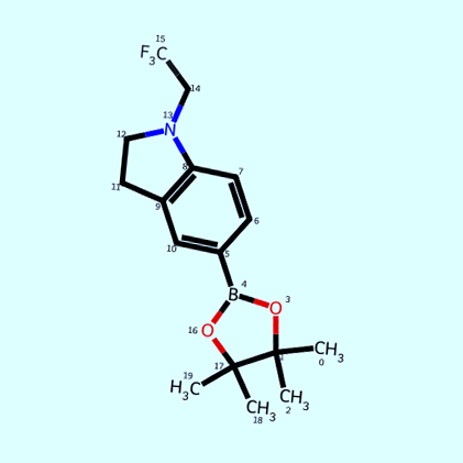 CC1(C)OB(c2ccc3c(c2)CCN3CC(F)(F)F)OC1(C)C